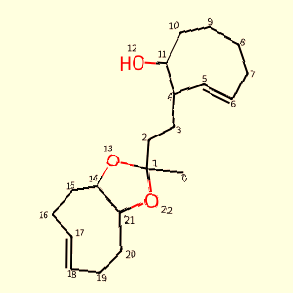 CC1(CCC2/C=C/CCCCC2O)OC2CC/C=C/CCC2O1